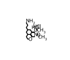 COC1=C2CC(CCCN)CC3CCOC(=C23)CN1OC.Cl.Cl